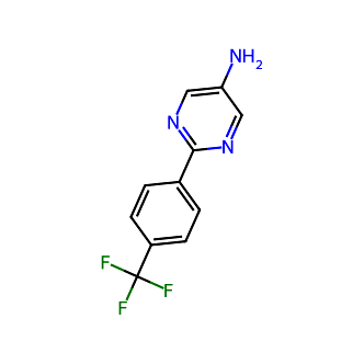 Nc1cnc(-c2ccc(C(F)(F)F)cc2)nc1